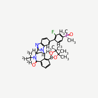 [2H]C([2H])([2H])N1C(=O)c2cccc(B3OC(C)(C)C(C)(C)O3)c2[C@H]2C[C@@H]1c1nc3ccc(-c4ccc(P(C)(C)=O)cc4F)cc3n12